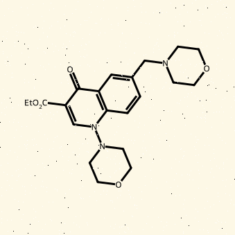 CCOC(=O)c1cn(N2CCOCC2)c2ccc(CN3CCOCC3)cc2c1=O